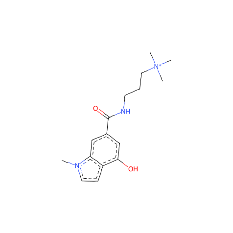 Cn1ccc2c(O)cc(C(=O)NCCC[N+](C)(C)C)cc21